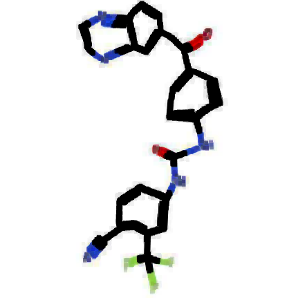 N#Cc1ccc(NC(=O)Nc2ccc(C(=O)c3ccc4nccnc4c3)cc2)cc1C(F)(F)F